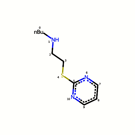 CCCCNCCSc1ncccn1